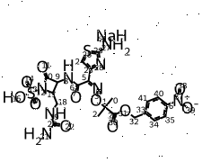 CC(C)(O/N=C(\C(=O)NC1C(=O)N(S(=O)(=O)O)C1CNC(N)=O)c1csc(N)n1)C(=O)OCc1ccc([N+](=O)[O-])cc1.[NaH]